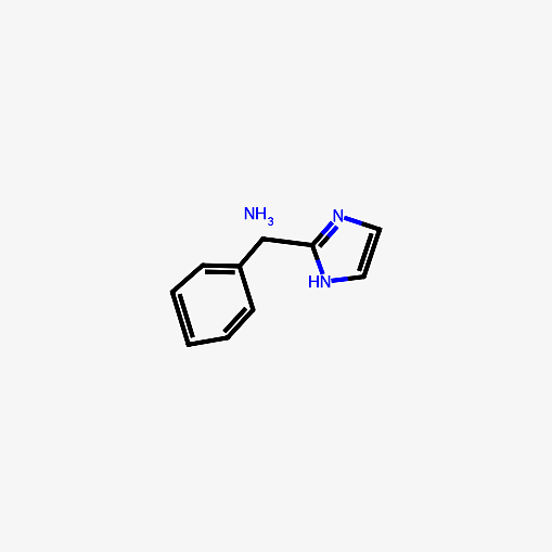 N.c1ccc(Cc2ncc[nH]2)cc1